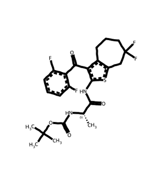 C[C@H](NC(=O)OC(C)(C)C)C(=O)Nc1sc2c(c1C(=O)c1c(F)cccc1F)CCCC(F)(F)C2